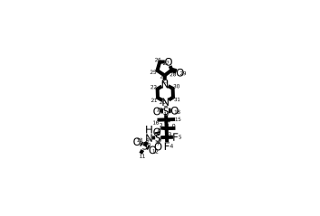 CC(C)(C(F)(F)S(=O)(=O)NS(C)(=O)=O)C(C)(C)S(=O)(=O)N1CCN(C2CCOC2=O)CC1